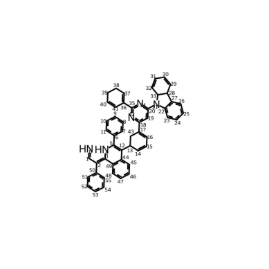 N=C/C(=C1\NC(c2ccccc2)=C(C2C=CC=C(c3cc(N4c5ccccc5C5C=CC=CC54)nc(C4=CCCC=C4)n3)C2)c2ccccc21)c1ccccc1